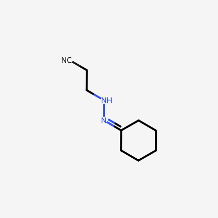 N#CCCNN=C1CCCCC1